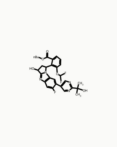 CCCCOC(=O)c1cccc(OC(F)F)c1C1CC(O)c2nc3cc(F)c(-c4cnc(C(C)(C)O)nc4)cc3n21